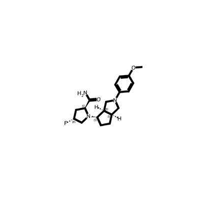 COc1ccc(N2C[C@H]3CC[C@H](N4C[C@H](F)C[C@H]4C(N)=O)[C@H]3C2)cc1